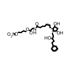 O=C(CCC/C=C\C[C@@H]1[C@@H](CC[C@@H](O)CCc2ccccc2)[C@H](O)C[C@@H]1O)NCC(=O)OCCCCO[N+](=O)[O-]